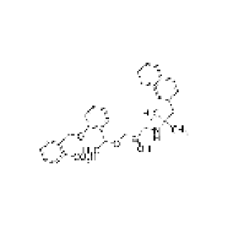 CC(OC[C@H](O)CNC(C)(C)Cc1ccc2ccccc2c1)c1ccccc1OCc1ccccc1C(=O)O